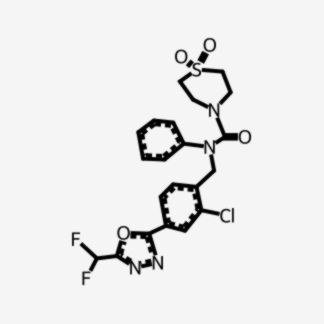 O=C(N1CCS(=O)(=O)CC1)N(Cc1ccc(-c2nnc(C(F)F)o2)cc1Cl)c1ccccc1